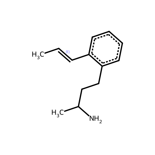 C/C=C/c1ccccc1CCC(C)N